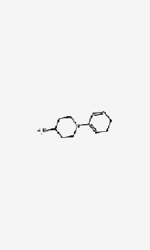 NC1CCN(C2=CC[CH]C=C2)CC1